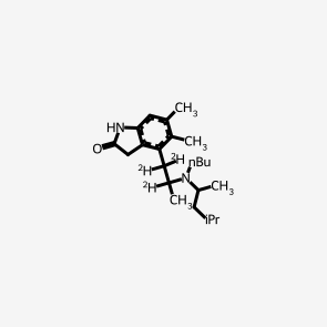 [2H]C([2H])(c1c(C)c(C)cc2c1CC(=O)N2)C([2H])(C)N(CCCC)C(C)CC(C)C